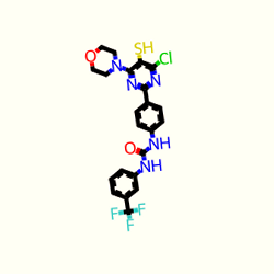 O=C(Nc1ccc(-c2nc(Cl)c(S)c(N3CCOCC3)n2)cc1)Nc1cccc(C(F)(F)F)c1